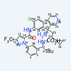 CC(C)(C)C(NC(=O)O)c1cccc(-n2nc(C(F)(F)F)cc2C(=O)Nc2cc(C(N)(CCC3CC3)c3cccnc3)ccc2F)c1